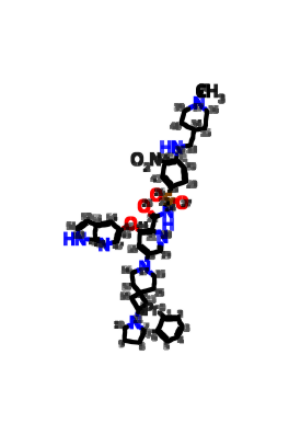 CC(C)c1ccccc1[C@@H]1CCCN1C1CC2(CCN(c3cnc(C(=O)NS(=O)(=O)c4ccc(NCC5CCN(C)CC5)c([N+](=O)[O-])c4)c(Oc4cnc5[nH]ccc5c4)c3)CC2)C1